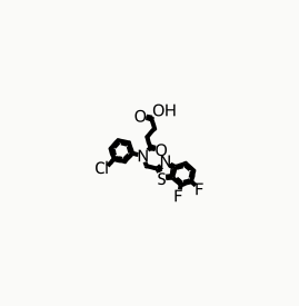 O=C(O)CCC(=O)N(Cc1nc2ccc(F)c(F)c2s1)c1cccc(Cl)c1